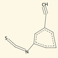 C#Cc1cccc(N=C=S)c1